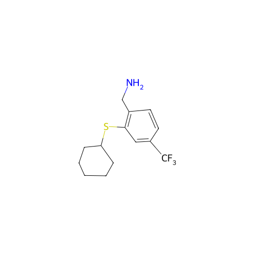 NCc1ccc(C(F)(F)F)cc1SC1CCCCC1